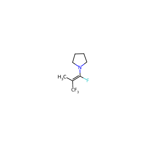 CC(=C(F)N1CCCC1)C(F)(F)F